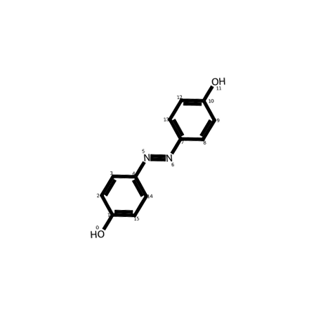 Oc1ccc(/N=N/c2ccc(O)cc2)cc1